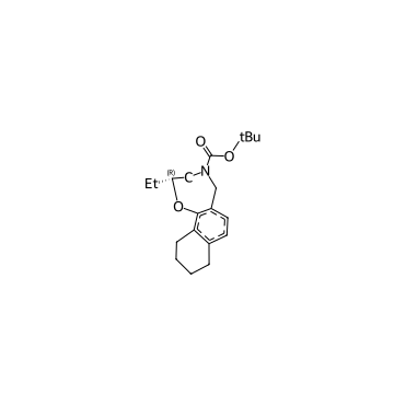 CC[C@@H]1CN(C(=O)OC(C)(C)C)Cc2ccc3c(c2O1)CCCC3